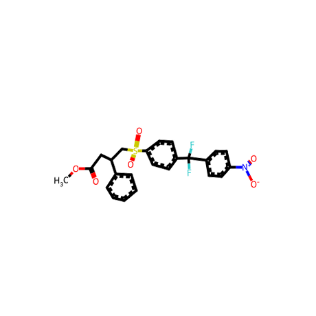 COC(=O)CC(CS(=O)(=O)c1ccc(C(F)(F)c2ccc([N+](=O)[O-])cc2)cc1)c1ccccc1